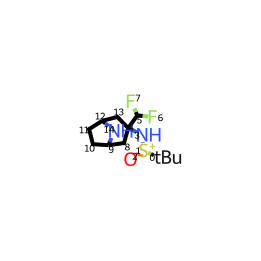 CC(C)(C)[S+]([O-])NC1(C(F)F)CC2CCC(C1)N2